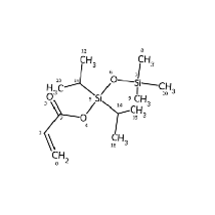 C=CC(=O)O[Si](O[Si](C)(C)C)(C(C)C)C(C)C